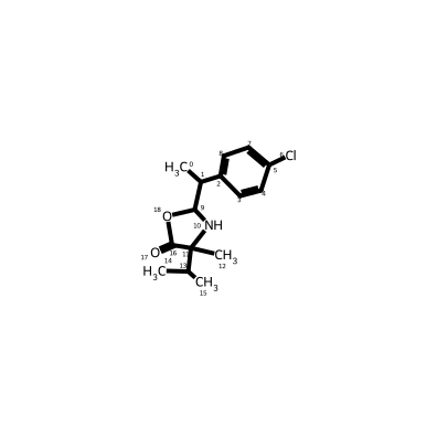 CC(c1ccc(Cl)cc1)C1NC(C)(C(C)C)C(=O)O1